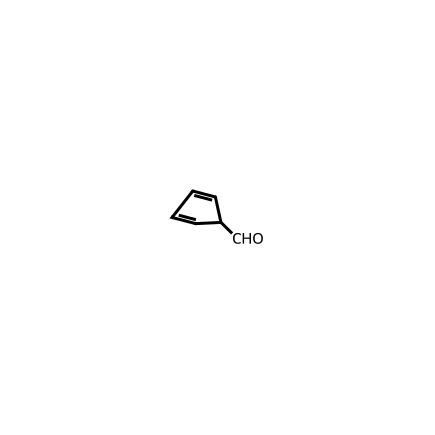 O=CC1C=CC=C1